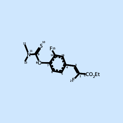 CCOC(=O)C(F)=Cc1ccc(OC(=S)N(C)C)c(F)c1